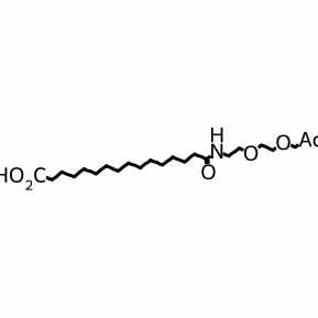 CC(=O)COCCOCCNC(=O)CCCCCCCCCCCCCCC(=O)O